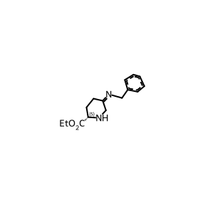 CCOC(=O)[C@@H]1CCC(=NCc2ccccc2)CN1